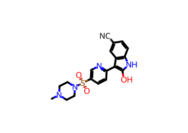 CN1CCN(S(=O)(=O)c2ccc(-c3c(O)[nH]c4ccc(C#N)cc34)nc2)CC1